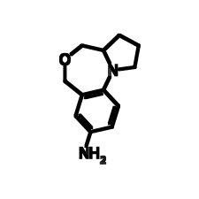 Nc1ccc2c(c1)COCC1CCCN21